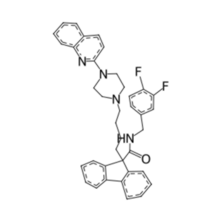 O=C(NCc1ccc(F)c(F)c1)C1(CCCCN2CCN(c3ccc4ccccc4n3)CC2)c2ccccc2-c2ccccc21